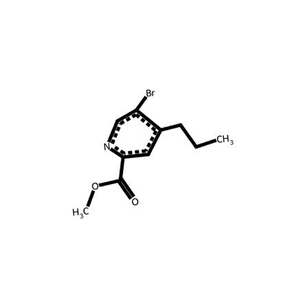 CCCc1cc(C(=O)OC)ncc1Br